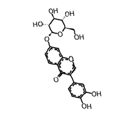 O=c1c(-c2ccc(O)c(O)c2)coc2cc(O[C@@H]3O[C@H](CO)[C@@H](O)[C@H](O)[C@H]3O)ccc12